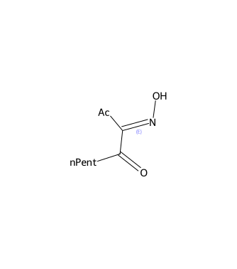 CCCCCC(=O)/C(=N/O)C(C)=O